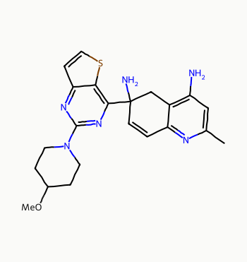 COC1CCN(c2nc(C3(N)C=Cc4nc(C)cc(N)c4C3)c3sccc3n2)CC1